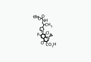 CC(CNC(=O)OC(C)(C)C)C1CCN(c2c(F)cc3c(=O)c(C(=O)O)cn(C4CC4)c3c2Cl)C1